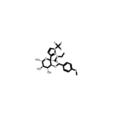 CCOC(=O)[C@@]1(c2ccn(C(F)(F)F)n2)O[C@@H](O)[C@H](O)[C@@H](O)[C@@H]1OCc1ccc(SC)cc1